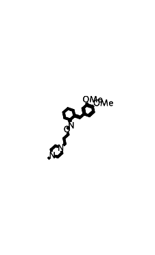 COc1ccc(C=C2CCCCC2=NOCCCN2CCN(C)CC2)cc1OC